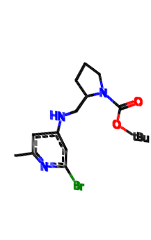 Cc1cc(NCC2CCCN2C(=O)OC(C)(C)C)cc(Br)n1